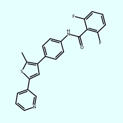 Cc1sc(-c2cccnc2)cc1-c1ccc(NC(=O)c2c(F)cccc2F)cc1